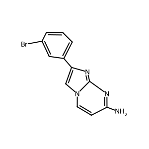 Nc1ccn2cc(-c3cccc(Br)c3)nc2n1